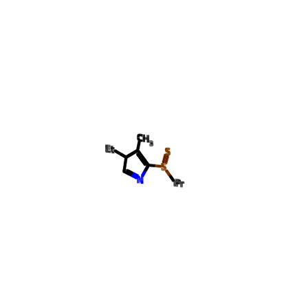 CCC1C=NC(S(=S)C(C)C)=C1C